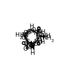 CC(=O)N[C@@H](CC1CCCCC1)C(=O)N[C@H]1CSSC[C@@H](C(N)=O)NC(=O)CCCNC(=O)[C@H](Cc2c[nH]c3ccccc23)NC(=O)[C@H](CCCNC(=N)N)NC(=O)[C@@H](Cc2ccccc2)NC(=O)[C@H](Cc2c[nH]cn2)NC1=O